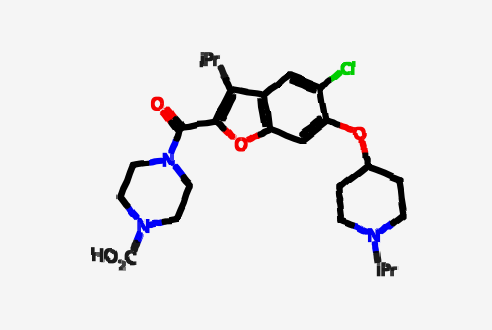 CC(C)c1c(C(=O)N2CCN(C(=O)O)CC2)oc2cc(OC3CCN(C(C)C)CC3)c(Cl)cc12